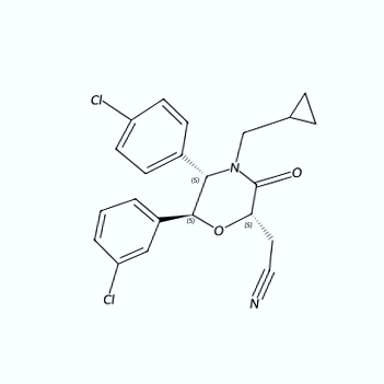 N#CC[C@@H]1O[C@@H](c2cccc(Cl)c2)[C@H](c2ccc(Cl)cc2)N(CC2CC2)C1=O